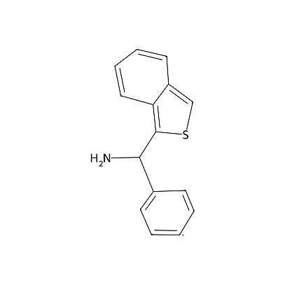 NC(c1cc[c]cc1)c1scc2ccccc12